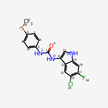 O=C(Nc1ccc(SC(F)(F)F)cc1)Nc1c[nH]c2cc(F)c(Cl)cc12